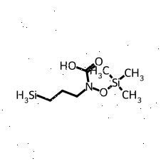 C[Si](C)(C)ON(CCC[SiH3])C(=O)O